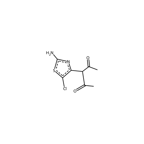 CC(=O)C(C(C)=O)c1nc(N)sc1Cl